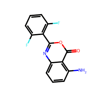 Nc1cccc2nc(-c3c(F)cccc3F)oc(=O)c12